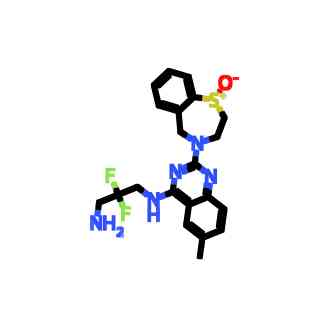 Cc1ccc2nc(N3CC[S+]([O-])c4ccccc4C3)nc(NCC(F)(F)CN)c2c1